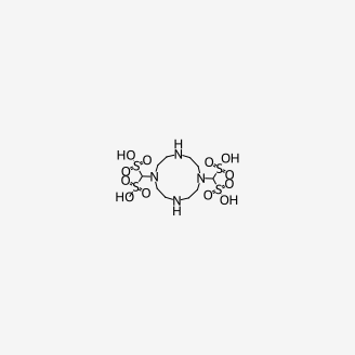 O=S(=O)(O)C(N1CCNCCN(C(S(=O)(=O)O)S(=O)(=O)O)CCNCC1)S(=O)(=O)O